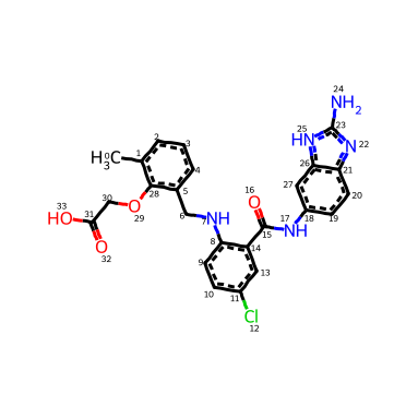 Cc1cccc(CNc2ccc(Cl)cc2C(=O)Nc2ccc3nc(N)[nH]c3c2)c1OCC(=O)O